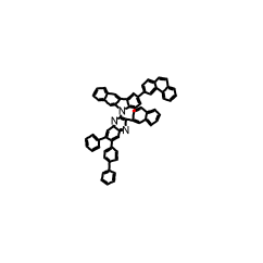 c1ccc(-c2ccc(-c3cc4nc(-c5ccc6ccccc6c5)c(-n5c6ccc(-c7ccc8ccc9ccccc9c8c7)cc6c6cc7ccccc7cc65)nc4cc3-c3ccccc3)cc2)cc1